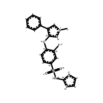 Cn1cc(-c2ccccc2)c(Oc2ccc(S(=O)(=O)Nc3nccs3)cc2F)n1